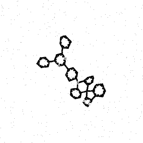 c1ccc(-c2cc(-c3ccccc3)nc(-c3ccc(N4c5ccccc5C5(c6ccccc6-c6ccccc65)c5ccccc54)cc3)n2)cc1